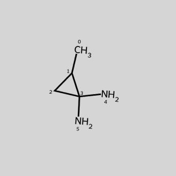 CC1CC1(N)N